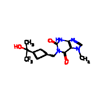 Cn1cnc2[nH]c(=O)n(C[C@H]3C[C@H](C(C)(O)C(F)(F)F)C3)c(=O)c21